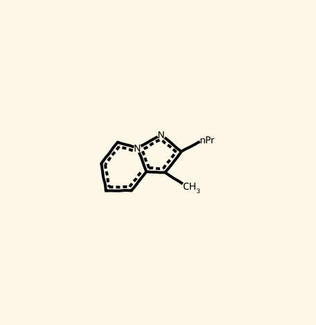 CCCc1nn2ccccc2c1C